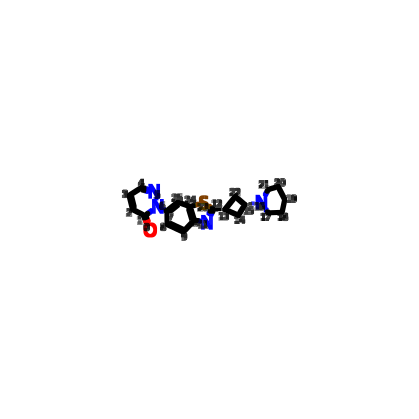 O=c1cccnn1-c1ccc2nc([C@H]3C[C@@H](N4CCCCC4)C3)sc2c1